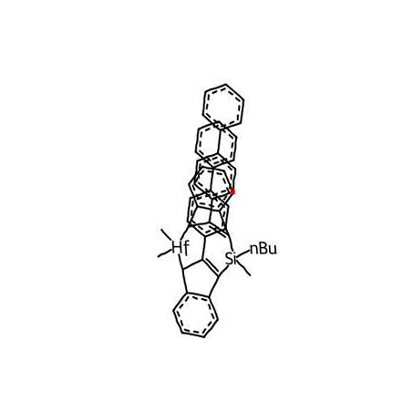 CCCC[Si]1(C)C2=C(c3ccc(-c4ccccc4)cc3)[CH](c3ccccc32)[Hf]([CH3])([CH3])[CH]2C(c3ccc(-c4ccccc4)cc3)=C1c1ccccc12